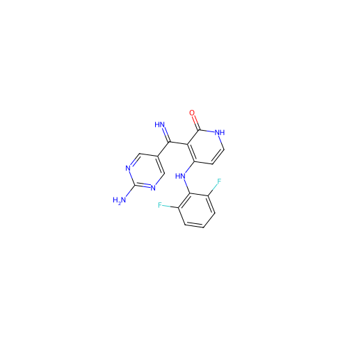 N=C(c1cnc(N)nc1)c1c(Nc2c(F)cccc2F)cc[nH]c1=O